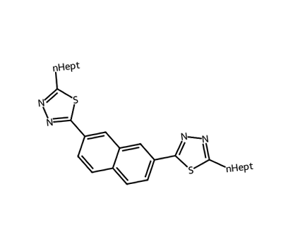 CCCCCCCc1nnc(-c2ccc3ccc(-c4nnc(CCCCCCC)s4)cc3c2)s1